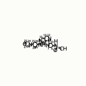 C#CC(=O)Nc1ccnc(-c2nccc3cnc(Nc4ccc(N5CCOCC5)cc4)nc23)c1